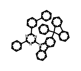 c1ccc(-c2cccc(-c3nc(-c4ccccc4)nc(-n4c5ccccc5c5ccc(C6(c7ccccc7)c7ccccc7-c7ccccc76)cc54)n3)c2)cc1